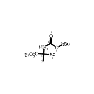 CCOC(=O)C(C)(NC(=O)OC(C)(C)C)C(C)=O